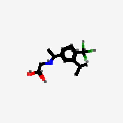 CC(C)c1cc(C(C)NCC(=O)O)ccc1C(F)(F)F